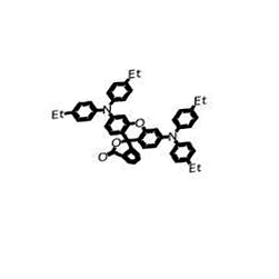 CCc1ccc(N(c2ccc(CC)cc2)c2ccc3c(c2)Oc2cc(N(c4ccc(CC)cc4)c4ccc(CC)cc4)ccc2C32OC(=O)c3ccccc32)cc1